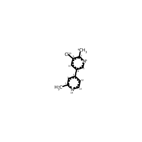 Cc1cc(-c2cnc(C)c(Cl)c2)ccn1